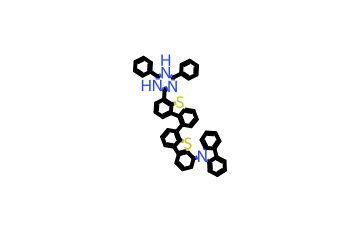 C1=Cc2c(sc3c(-c4cccc5sc6c(C7=NC(c8ccccc8)NC(c8ccccc8)N7)cccc6c45)cccc23)C(n2c3ccccc3c3ccccc32)C1